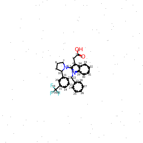 O=C(O)Cc1c(N2CCCC2c2cccc(C(F)(F)F)c2)n(Cc2ccccc2)c2ccccc12